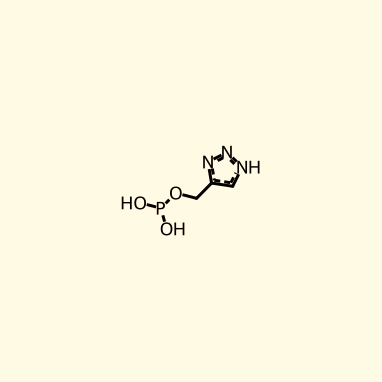 OP(O)OCc1c[nH]nn1